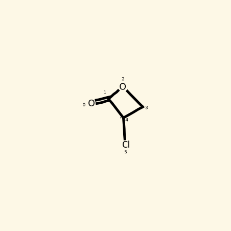 O=C1OC[C]1Cl